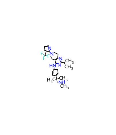 CNCC(C)(C)c1ccc(Nc2nc(C(C)C)nc3c2CCN(c2ncccc2C(F)(F)F)CC3)cc1